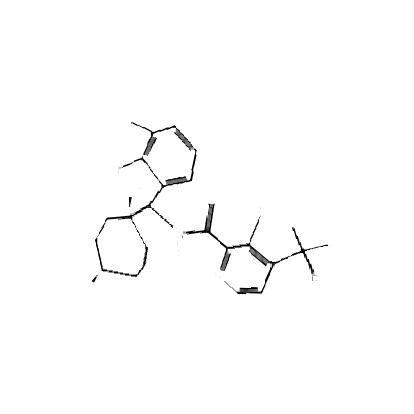 O=C(NC(c1cccc(F)c1Cl)[C@]1(O)CC[C@@H](F)CC1)c1nccc(C(F)(F)F)c1Cl